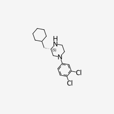 Clc1ccc(N2CCN[C@@H](CC3CCCCC3)C2)cc1Cl